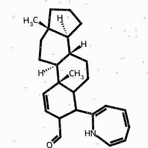 C[C@@]12CCC[C@H]1[C@@H]1CCC3C(C4=CC=CC=CN4)C(C=O)C=C[C@]3(C)[C@H]1CC2